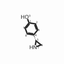 Oc1ccc([C@@H]2CN2)cc1